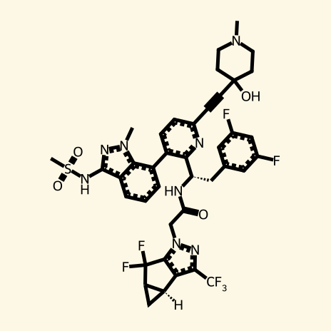 CN1CCC(O)(C#Cc2ccc(-c3cccc4c(NS(C)(=O)=O)nn(C)c34)c([C@H](Cc3cc(F)cc(F)c3)NC(=O)Cn3nc(C(F)(F)F)c4c3C(F)(F)C3C[C@H]43)n2)CC1